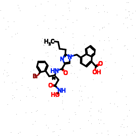 CCCCc1nc(C(=O)N[C@@H](CC(=O)NO)Cc2ccccc2Br)cn1Cc1ccc(C(=O)O)c2ccccc12